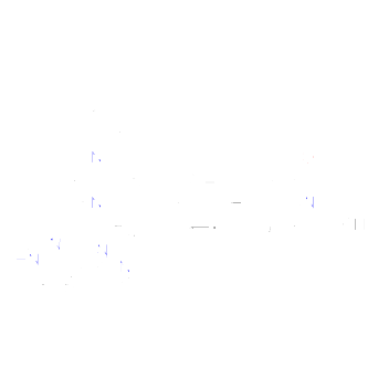 CCN1CCC(c2ccc(-c3cc(N4CCOC[C@H]4C)nc4c3cnn4-c3cc[nH]n3)cc2)CC1=O